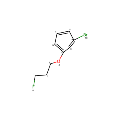 FCCCOc1cccc(Br)c1